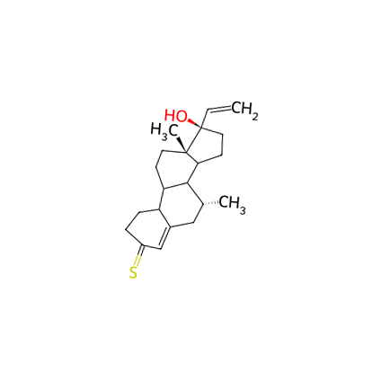 C=C[C@]1(O)CCC2C3C(CC[C@@]21C)C1CCC(=S)C=C1C[C@H]3C